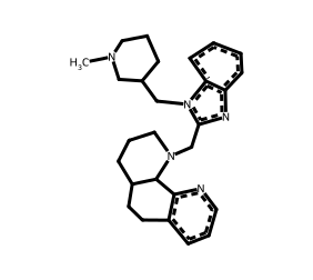 CN1CCCC(Cn2c(CN3CCCC4CCc5cccnc5C43)nc3ccccc32)C1